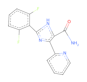 NC(=O)c1[nH]c(-c2c(F)cccc2F)nc1-c1ccccn1